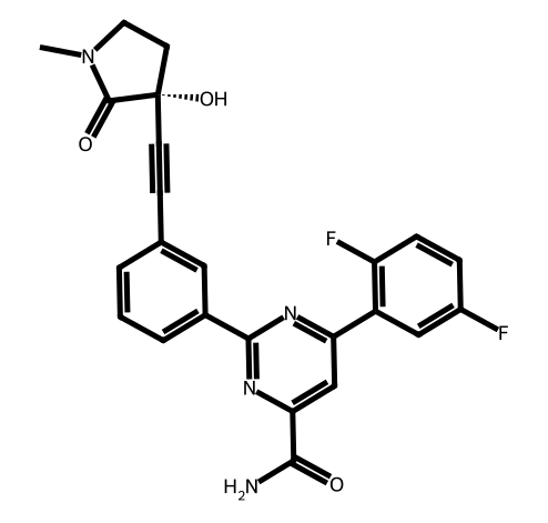 CN1CC[C@@](O)(C#Cc2cccc(-c3nc(C(N)=O)cc(-c4cc(F)ccc4F)n3)c2)C1=O